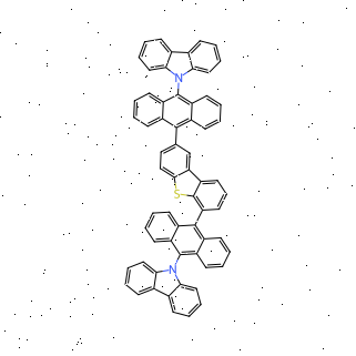 c1ccc2c(-n3c4ccccc4c4ccccc43)c3ccccc3c(-c3ccc4sc5c(-c6c7ccccc7c(-n7c8ccccc8c8ccccc87)c7ccccc67)cccc5c4c3)c2c1